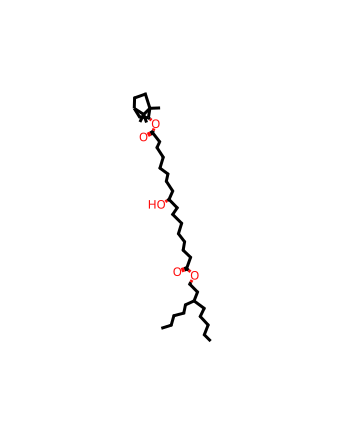 CCCCCC(CCCCC)CCOC(=O)CCCCCCCC(O)CCCCCCCC(=O)OC1CC2CCC1(C)C2(C)C